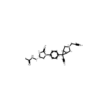 CC(=O)NC[C@H]1CN(c2ccc(C3(C#N)C4CN(CC#N)CC43)cc2)C(=O)O1